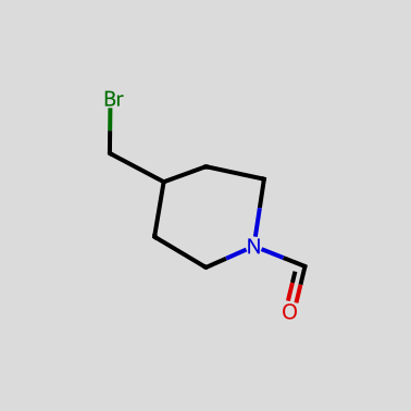 O=CN1CCC(CBr)CC1